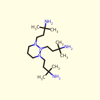 CC(C)(N)CCN1CCCN(CCC(C)(C)N)N1CCC(C)(C)N